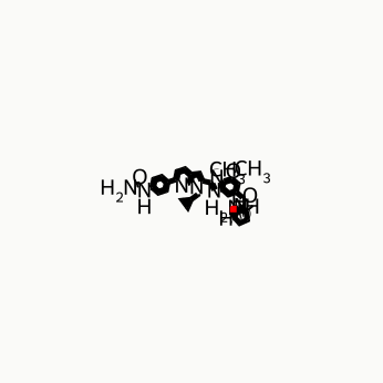 COc1cc(C(=O)N2C[C@H]3CC[C@@H]2[C@@H]3N)cc2nc(-c3cc4ccc(-c5ccc(NC(N)=O)cc5)nc4n3CC3CC3)n(C)c12